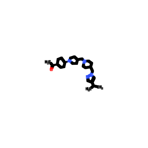 CC(=O)[C@H]1CC[C@H](N2CCC(CN3CCC(Cn4cc(C(C)C)cn4)CC3)CC2)CC1